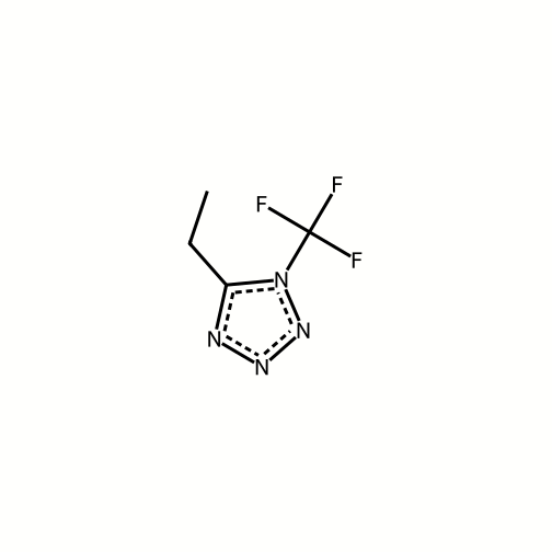 CCc1nnnn1C(F)(F)F